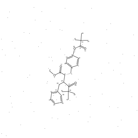 COC(=O)[C@H](Cc1ccc(OC(=O)C(C)(C)C)cc1)C(Cc1ccccc1)C(=O)C(C)(C)C